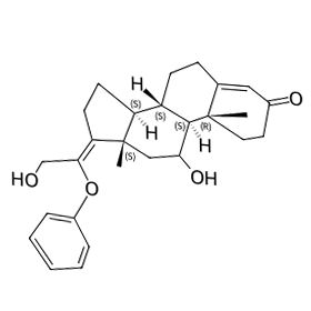 C[C@]12CCC(=O)C=C1CC[C@@H]1[C@@H]2C(O)C[C@]2(C)C(=C(CO)Oc3ccccc3)CC[C@@H]12